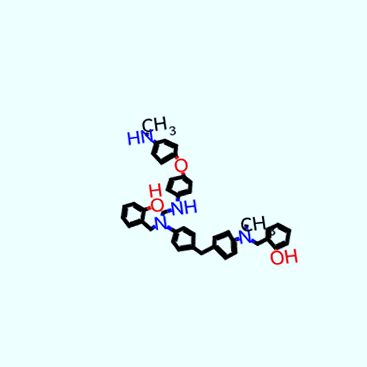 CNc1ccc(Oc2ccc(NCN(Cc3ccccc3O)c3ccc(Cc4ccc(N(C)Cc5ccccc5O)cc4)cc3)cc2)cc1